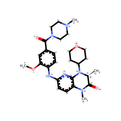 COc1cc(C(=O)N2CCN(C)CC2)ccc1Nc1ccc2c(n1)N(C1CCOCC1)[C@H](C)C(=O)N2C